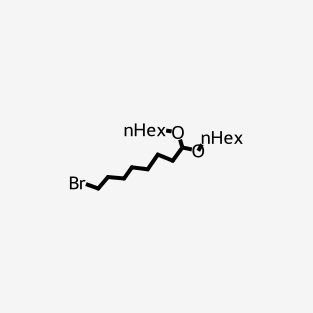 CCCCCCOC(CCCCCCCBr)OCCCCCC